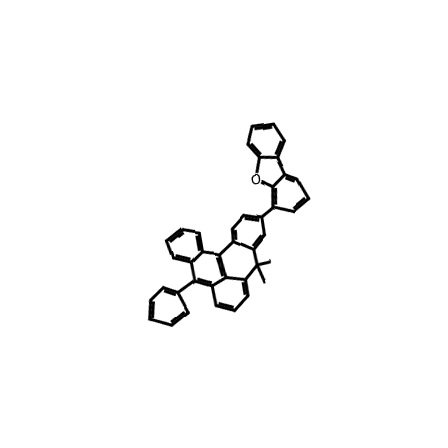 CC1(C)c2cc(-c3cccc4c3oc3ccccc34)ccc2-c2c3ccccc3c(-c3ccccc3)c3cccc1c23